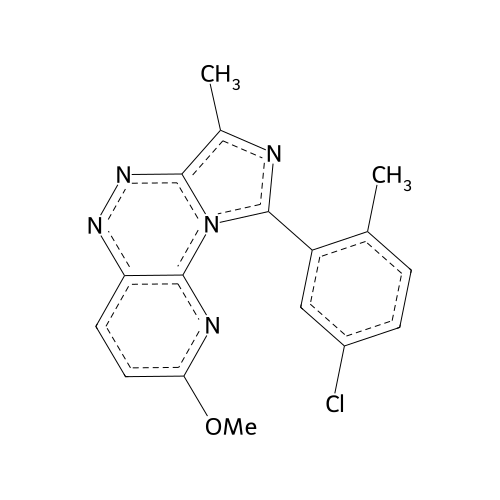 COc1ccc2nnc3c(C)nc(-c4cc(Cl)ccc4C)n3c2n1